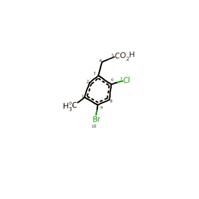 Cc1cc(CC(=O)O)c(Cl)cc1Br